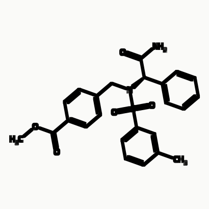 COC(=O)c1ccc(CN([C@@H](C(N)=O)c2ccccc2)S(=O)(=O)c2cccc(C)c2)cc1